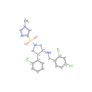 Cn1cnc(S(=O)(=O)N2CC(NCc3ccc(Cl)cc3Cl)C(c3ccccc3Cl)C2)c1